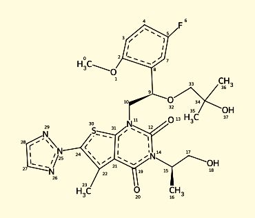 COc1ccc(F)cc1[C@H](Cn1c(=O)n([C@H](C)CO)c(=O)c2c(C)c(-n3nccn3)sc21)OCC(C)(C)O